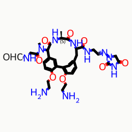 C[C@@H]1NC(=O)C(N(C)C(=O)CNC=O)c2ccc(OCCN)c(c2)-c2cc(ccc2OCCN)CC(C(=O)NC/C=N/N2CC(=O)NC2=O)NC1=O